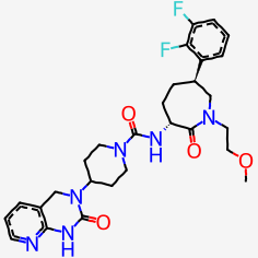 COCCN1C[C@H](c2cccc(F)c2F)CC[C@@H](NC(=O)N2CCC(N3Cc4cccnc4NC3=O)CC2)C1=O